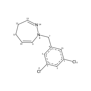 Clc1cc(Cl)cc(CN2C=CCCC=N2)c1